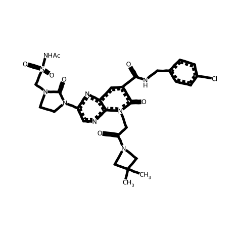 CC(=O)NS(=O)(=O)CN1CCN(c2cnc3c(cc(C(=O)NCc4ccc(Cl)cc4)c(=O)n3CC(=O)N3CC(C)(C)C3)n2)C1=O